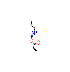 C=CC(=O)OC#[N+]CCC